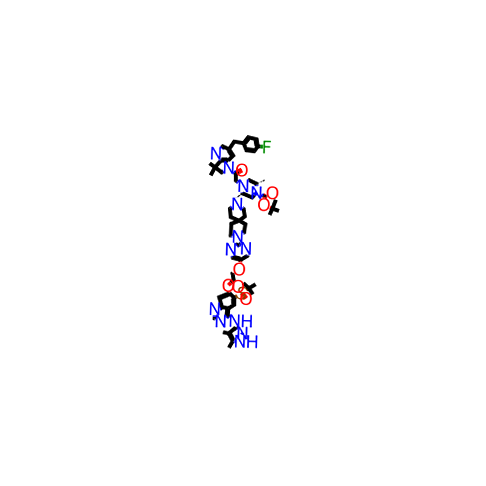 Cc1[nH]nc(Nc2ncnc3cc(OCCOc4cnc(N5CCC6(CCN(C[C@H]7CN(C(=O)OC(C)(C)C)[C@@H](C)CN7CC(=O)N7CC(C)(C)c8ncc(Cc9ccc(F)cc9)cc87)CC6)CC5)nc4)c(S(=O)(=O)C(C)(C)C)cc23)c1C